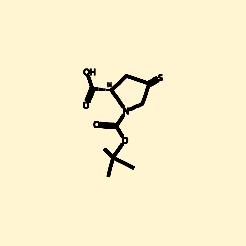 CC(C)(C)OC(=O)N1CC(=S)C[C@H]1C(=O)O